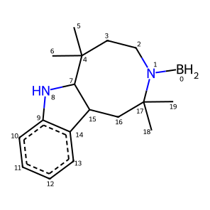 BN1CCC(C)(C)C2Nc3ccccc3C2CC1(C)C